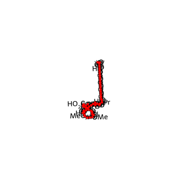 COc1cc(C(=O)N(C)[C@@H](C)C(=O)O)c(C[C@@H]2[C@@H]3CC(NC(=O)O3)[C@H](OC)/C=C/C=C(\C)Cc3cc(OC)c(Cl)c(c3)N(C)C(=O)CC[C@]3(C)O[C@@H]23)cc1NC(=O)OCc1ccc(NC(=O)[C@H](C)NC(=O)C(NC(=O)CCOCCOCCOCCOCCOCCOCCOCCOCCNC(=O)CCN2C(=O)C=CC2=O)C(C)C)cc1